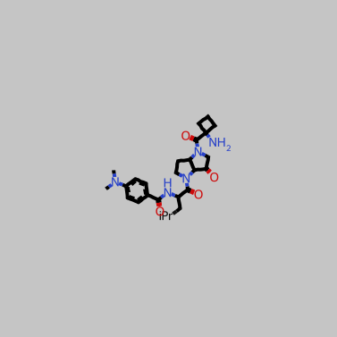 CC(C)CC(NC(=O)c1ccc(N(C)C)cc1)C(=O)N1CCC2C1C(=O)CN2C(=O)C1(N)CCC1